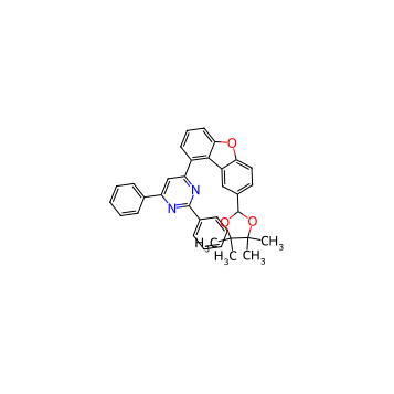 CC1(C)OC(c2ccc3oc4cccc(-c5cc(-c6ccccc6)nc(-c6ccccc6)n5)c4c3c2)OC1(C)C